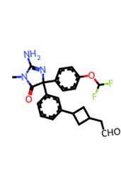 CN1C(=O)C(c2ccc(OC(F)F)cc2)(c2cccc(C3CC(CC=O)C3)c2)N=C1N